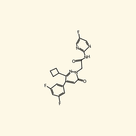 O=C(Cn1nc(C2CCC2)c(-c2cc(F)cc(F)c2)cc1=O)Nc1ncc(F)cn1